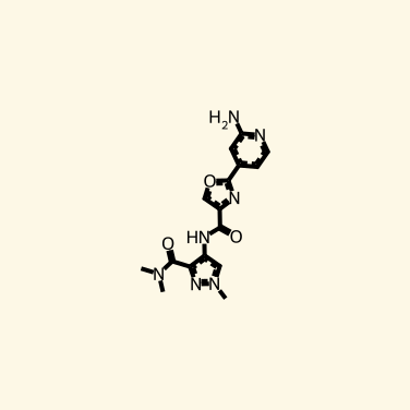 CN(C)C(=O)c1nn(C)cc1NC(=O)c1coc(-c2ccnc(N)c2)n1